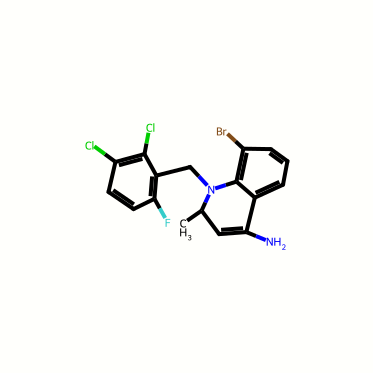 CC1C=C(N)c2cccc(Br)c2N1Cc1c(F)ccc(Cl)c1Cl